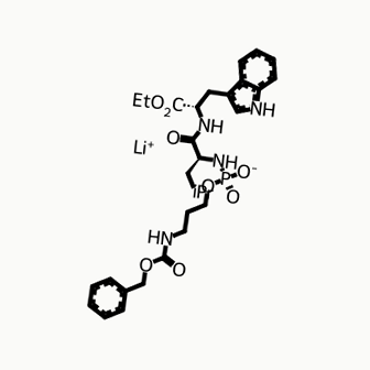 CCOC(=O)[C@H](Cc1c[nH]c2ccccc12)NC(=O)[C@H](CC(C)C)NP(=O)([O-])OCCCNC(=O)OCc1ccccc1.[Li+]